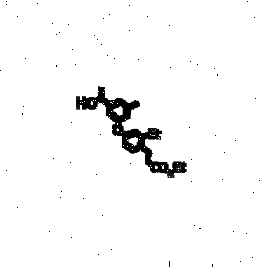 CCOC(=O)CCc1ccc(Oc2cc(C)cc(C(C)O)c2)cc1CC